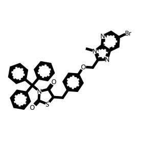 Cn1c(COc2ccc(CC3SC(=O)N(C(c4ccccc4)(c4ccccc4)c4ccccc4)C3=O)cc2)nc2cc(Br)cnc21